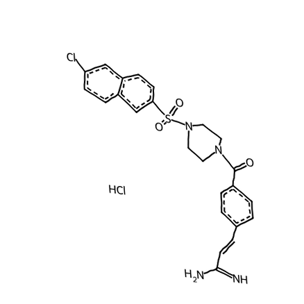 Cl.N=C(N)C=Cc1ccc(C(=O)N2CCN(S(=O)(=O)c3ccc4cc(Cl)ccc4c3)CC2)cc1